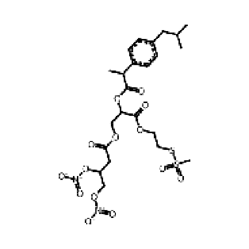 CC(C)Cc1ccc(C(C)C(=O)OC(COC(=O)CC(CO[N+](=O)[O-])O[N+](=O)[O-])C(=O)OCCSS(C)(=O)=O)cc1